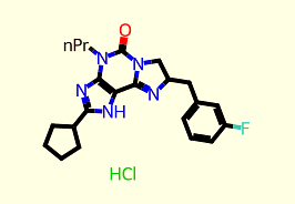 CCCN1C(=O)N2CC(Cc3cccc(F)c3)N=C2c2[nH]c(C3CCCC3)nc21.Cl